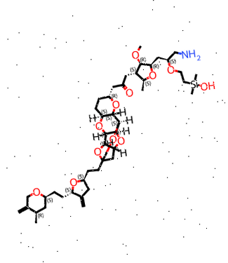 C=C1CO[C@@H](CC[C@@H]2O[C@@H](CCC34C[C@H]5O[C@@H]6[C@@H](O3)[C@H]3O[C@@H](CC(=O)C[C@@H]7[C@@H](OC)[C@@H](C[C@@H](CN)OCC[Si](C)(C)O)O[C@H]7C)CC[C@@H]3O[C@H]6[C@H]5O4)CC2=C)C[C@H]1C